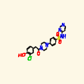 O=C(Cc1ccc(O)c(Cl)c1)N1CCN(c2ccc(S(=O)(=O)Nc3ccncn3)cc2)CC1